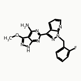 COc1n[nH]c2nc(-c3nn(Cc4ccccc4F)c4ncccc34)nc(N)c12